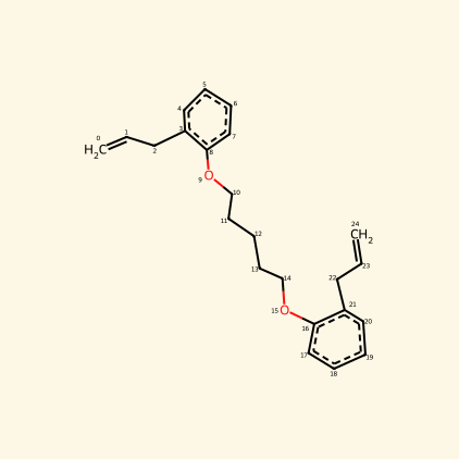 C=CCc1ccccc1OCCCCCOc1ccccc1CC=C